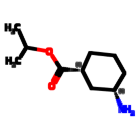 CC(C)OC(=O)[C@@H]1CCC[C@H](N)C1